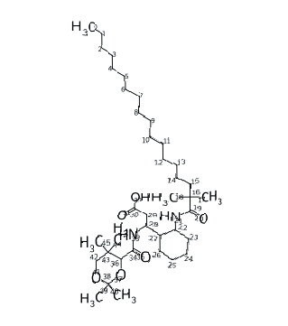 CCCCCCCCCCCCCCCCC(C)(C)C(=O)NC1CCCCC1C(CC(=O)O)NC(=O)C1OC(C)(C)OCC1(C)C